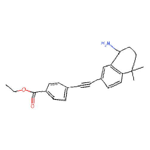 CCOC(=O)c1ccc(C#Cc2ccc3c(c2)C(N)CCC3(C)C)cc1